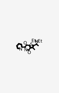 CCN(CC)C(C)c1sc2c(c1C)C(=O)N=C(c1ccccn1)C2=O